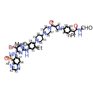 CCCC(C(=O)NC=O)c1ccc(N2CC(C(=O)N3CCN(C4CCN(c5cc(OC)c(Nc6ncc(Br)c(Nc7ccc8nccnc8c7P(C)(C)=O)n6)cc5CC)CC4)CC3)C2)cc1